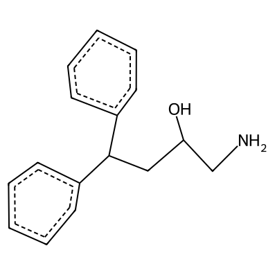 NCC(O)CC(c1ccccc1)c1ccccc1